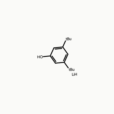 CC(C)(C)c1cc(O)cc(C(C)(C)C)c1.[LiH]